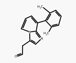 Cc1cccc(C)c1-c1cccn2c(CC=O)cnc12